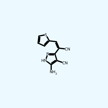 N#CC(=Cc1cccs1)c1n[nH]c(N)c1C#N